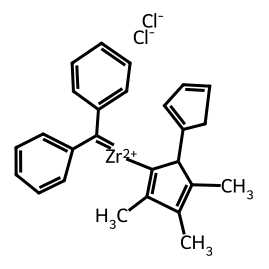 CC1=C(C)C(C2=CC=CC2)[C]([Zr+2]=[C](c2ccccc2)c2ccccc2)=C1C.[Cl-].[Cl-]